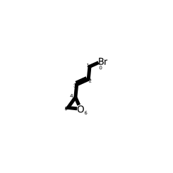 BrCC=CC1CO1